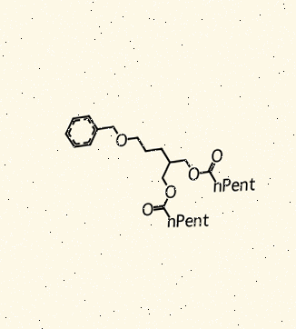 CCCCCC(=O)OCC(CCCOCc1ccccc1)COC(=O)CCCCC